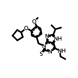 CCNc1nc(=S)n(Cc2ccc(OC)c(OC3CCCC3)c2)c2nc(C(C)C)[nH]c12